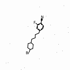 N#Cc1ccc(CCCCC2CCC(Br)CC2)cc1F